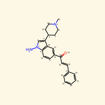 CN1CCC(c2cn(N)c3ccc(C(=O)C=Cc4ccccc4)cc23)CC1